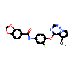 Cc1ccn2ncnc(Oc3ccc(NC(=O)c4ccc5c(c4)OCO5)cc3F)c12